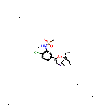 CC[Si](CC)(CC)O[C@@H](CI)c1ccc(Cl)c(NS(C)(=O)=O)c1